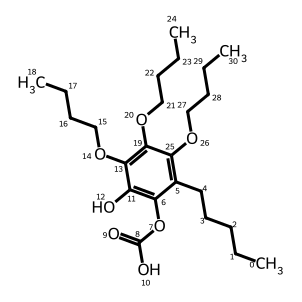 CCCCCc1c(OC(=O)O)c(O)c(OCCCC)c(OCCCC)c1OCCCC